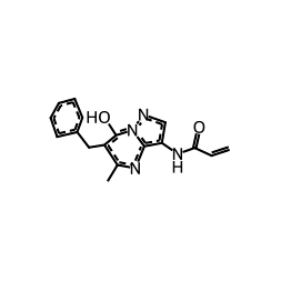 C=CC(=O)Nc1cnn2c(O)c(Cc3ccccc3)c(C)nc12